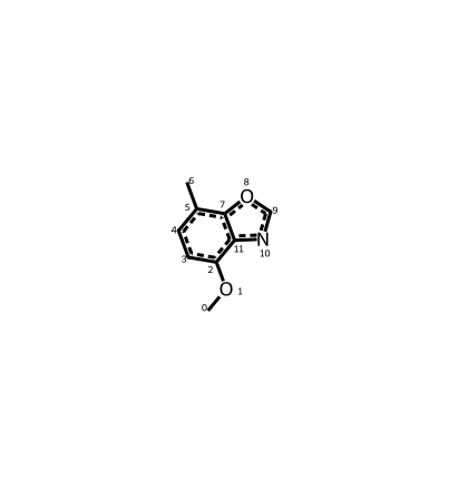 COc1ccc(C)c2ocnc12